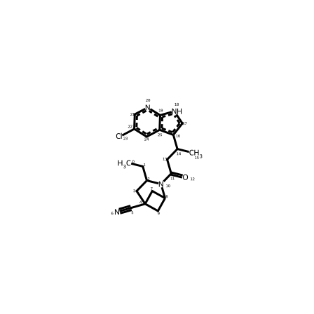 CCC1CC2(C#N)CC(C2)N1C(=O)CC(C)c1c[nH]c2ncc(Cl)cc12